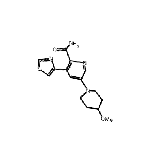 COC1CCN(c2cnc(C(N)=O)c(-c3cscn3)c2)CC1